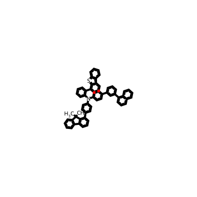 CC1(C)c2ccccc2-c2cccc(-c3ccc(N(c4ccc(-c5cccc(-c6cccc7ccccc67)c5)cc4)c4ccccc4-c4cccc5c4sc4ccccc45)cc3)c21